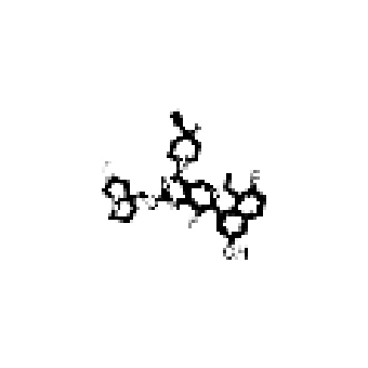 C#CC1(F)CCN(c2nc(OC[C@@]34CCCN3C[C@H](F)C4)nc3c(F)c(-c4cc(O)cc5ccc(F)c(CC)c45)ncc23)CC1